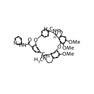 COc1cc2c3cc1Oc1c(OC)c(OC)cc4c1[C@H](Cc1ccc(cc1)Oc1cc(ccc1C(=O)Nc1cccnc1)C[C@H]3N(C)CC2)N(C)CC4